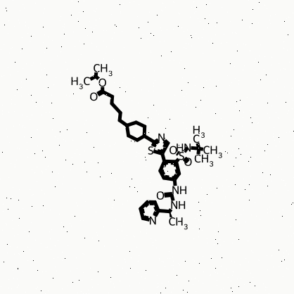 CC(C)OC(=O)CCCCC1CCC(c2ncc(-c3ccc(NC(=O)N[C@@H](C)c4ccccn4)cc3S(=O)(=O)NC(C)(C)C)s2)CC1